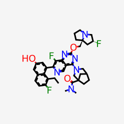 CCc1c(F)ccc2cc(O)cc(-c3ncc4c(N5CC6CCC(C(=O)N(C)C)(C6)C5)nc(OC[C@@]56CCCN5C[C@H](F)C6)nc4c3F)c12